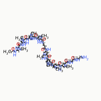 CCC(=O)Nc1cn(C)c(C(=O)Nc2cn(C)c(C(=O)Nc3cn(C)c(C(=O)Nc4cn(C)c(C(=O)NCCCC(=O)Nc5cc(C(=O)Nc6cc(C(=O)Nc7cc(C(=O)Nc8cc(C(=O)NCCC(=O)NCCCN)n(C)c8)n(C)c7)n(C)c6)n(C)c5)n4)n3)n2)n1